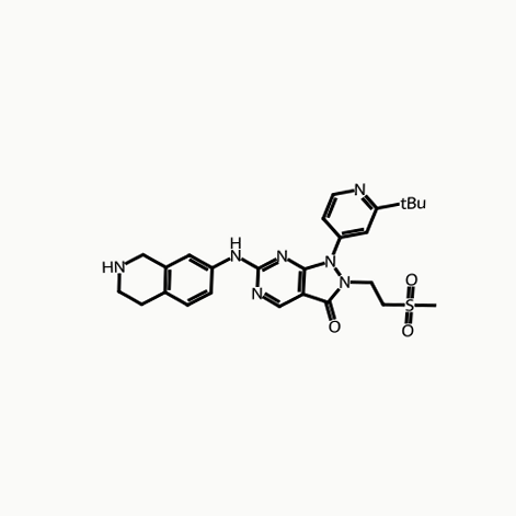 CC(C)(C)c1cc(-n2c3nc(Nc4ccc5c(c4)CNCC5)ncc3c(=O)n2CCS(C)(=O)=O)ccn1